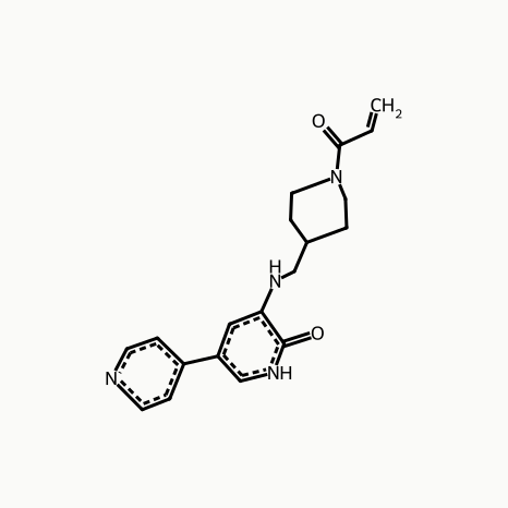 C=CC(=O)N1CCC(CNc2cc(-c3ccncc3)c[nH]c2=O)CC1